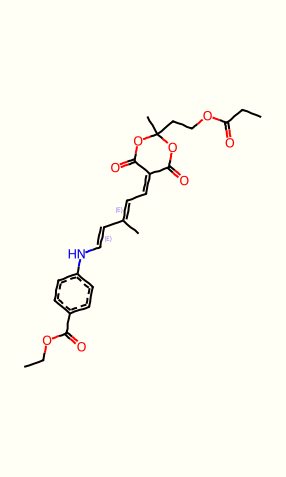 CCOC(=O)c1ccc(N/C=C/C(C)=C/C=C2C(=O)OC(C)(CCOC(=O)CC)OC2=O)cc1